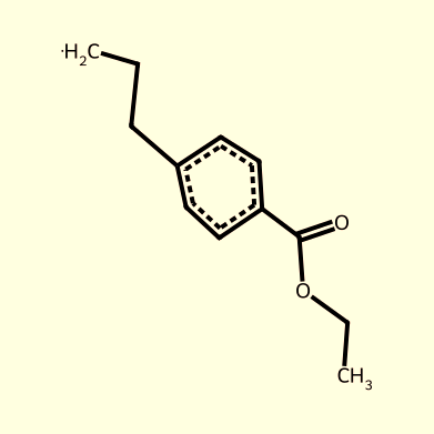 [CH2]CCc1ccc(C(=O)OCC)cc1